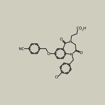 N#Cc1ccc(COc2ccc3c(c2)C(=O)N(CCC(=O)O)CC(=O)N3Cc2ccc(Cl)cc2)cc1